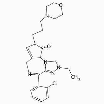 CCN1CN2C(=N1)C(c1ccccc1Cl)=NCC1=CC(CCCN3CCOCC3)[S+]([O-])C12